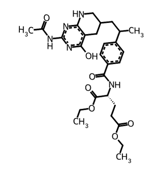 CCOC(=O)CC[C@@H](NC(=O)c1ccc(C(C)CC2CNc3nc(NC(C)=O)nc(O)c3C2)cc1)C(=O)OCC